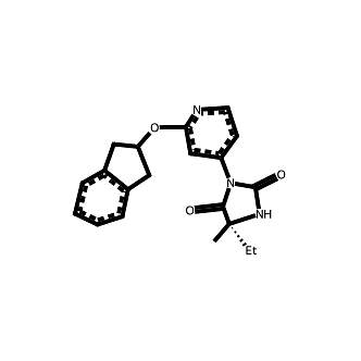 CC[C@@]1(C)NC(=O)N(c2ccnc(OC3Cc4ccccc4C3)c2)C1=O